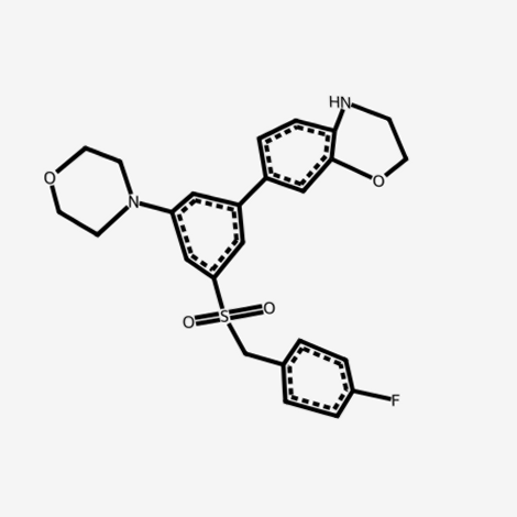 O=S(=O)(Cc1ccc(F)cc1)c1cc(-c2ccc3c(c2)OCCN3)cc(N2CCOCC2)c1